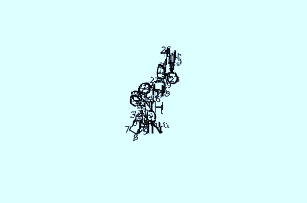 CNC(=O)C12CC3CC(C1)CC(C(=O)N[C@@H](Cc1ccc(OC(=O)N(C)C)cc1)C(=O)O)(C3)C2